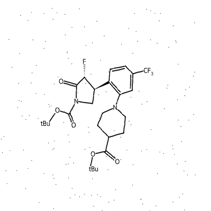 CC(C)(C)OC(=O)C1CCN(c2cc(C(F)(F)F)ccc2[C@H]2CN(C(=O)OC(C)(C)C)C(=O)[C@@H]2F)CC1